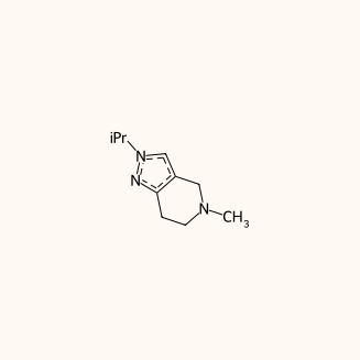 CC(C)n1cc2c(n1)CCN(C)C2